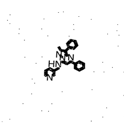 Cc1nn2c(NCc3cccnc3)cc(-c3ccccc3)nc2c1-c1ccccc1